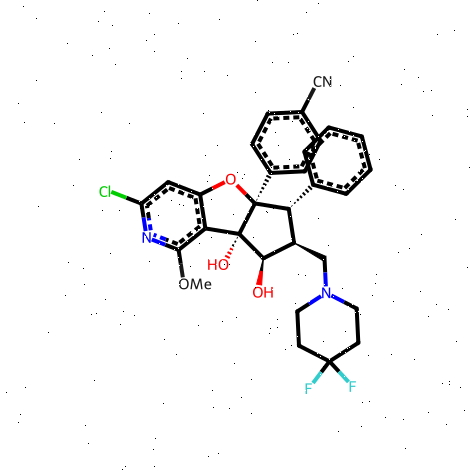 COc1nc(Cl)cc2c1[C@]1(O)[C@H](O)[C@H](CN3CCC(F)(F)CC3)[C@@H](c3ccccc3)[C@]1(c1ccc(C#N)cc1)O2